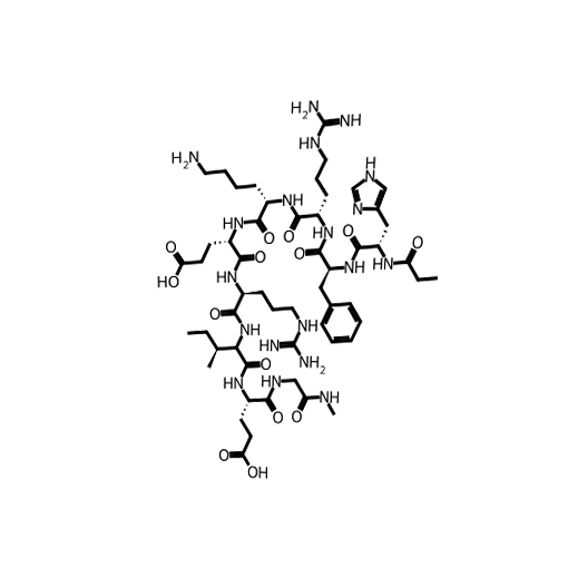 CCC(=O)N[C@@H](Cc1c[nH]cn1)C(=O)N[C@@H](Cc1ccccc1)C(=O)N[C@@H](CCCNC(=N)N)C(=O)N[C@@H](CCCCN)C(=O)N[C@@H](CCC(=O)O)C(=O)N[C@@H](CCCNC(=N)N)C(=O)NC(C(=O)N[C@@H](CCC(=O)O)C(=O)NCC(=O)NC)[C@@H](C)CC